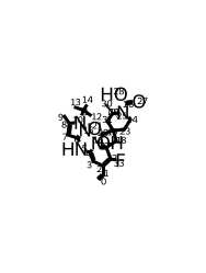 C=Cc1cc(Nc2cc(C)n(C(C)(C)C)n2)nc(CC2(C(=O)O)CCN(C(=O)O)[C@H](C)C2)c1F